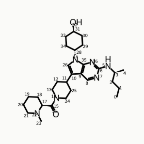 CCC[C@H](C)Nc1ncc2c(C3CCN(C(=O)[C@@H]4CCCCN4C)CC3)cn([C@H]3CC[C@H](O)CC3)c2n1